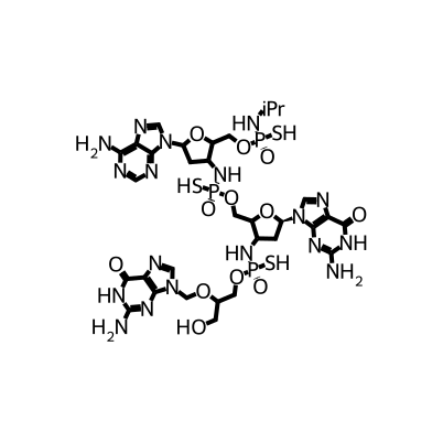 CC(C)NP(=O)(S)OCC1OC(n2cnc3c(N)ncnc32)CC1NP(=O)(S)OCC1O[C@@H](n2cnc3c(=O)[nH]c(N)nc32)CC1NP(=O)(S)OCC(CO)OCn1cnc2c(=O)[nH]c(N)nc21